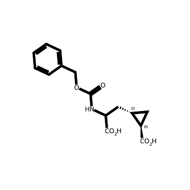 O=C(NC(C[C@@H]1C[C@H]1C(=O)O)C(=O)O)OCc1ccccc1